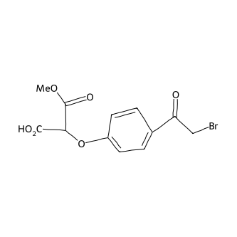 COC(=O)C(Oc1ccc(C(=O)CBr)cc1)C(=O)O